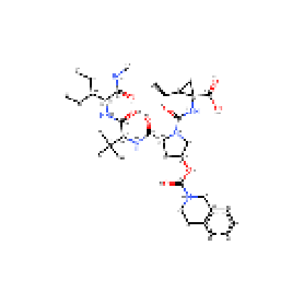 C=CC1CC1(NC(=O)N1C[C@@H](OC(=O)N2CCc3ccccc3C2)C[C@@H]1C(=O)N[C@H](C(=O)N[C@H](C(=O)NC)C(CC)CC)C(C)(C)C)C(=O)O